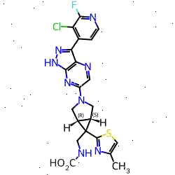 Cc1csc(C2(CNC(=O)O)[C@@H]3CN(c4cnc5c(-c6ccnc(F)c6Cl)n[nH]c5n4)C[C@@H]32)n1